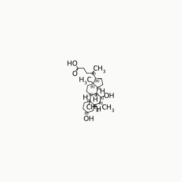 C[C@H]1[C@H](O)[C@@H]2[C@H](CC[C@]3(C)[C@@H]([C@H](C)CCC(=O)O)CC[C@@H]23)[C@@]2(C)CC[C@@H](O)C[C@@H]12